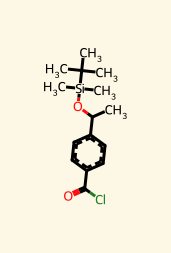 CC(O[Si](C)(C)C(C)(C)C)c1ccc(C(=O)Cl)cc1